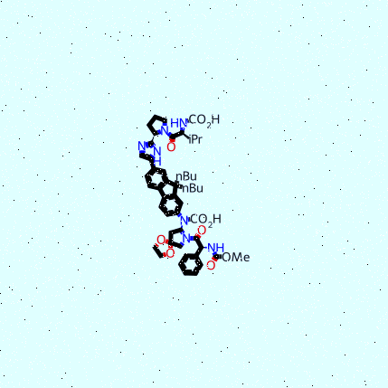 CCCCC1(CCCC)c2cc(-c3cnc([C@@H]4CCCN4C(=O)[C@@H](NC(=O)O)C(C)C)[nH]3)ccc2-c2ccc(N(C(=O)O)[C@H]3CC4(CN3C(=O)[C@H](NC(=O)OC)c3ccccc3)OCCO4)cc21